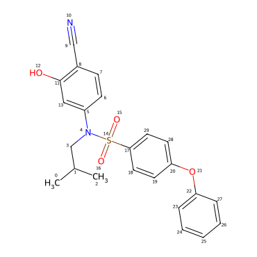 CC(C)CN(c1ccc(C#N)c(O)c1)S(=O)(=O)c1ccc(Oc2ccccc2)cc1